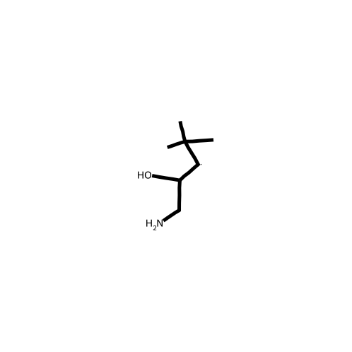 CC(C)(C)[CH]C(O)CN